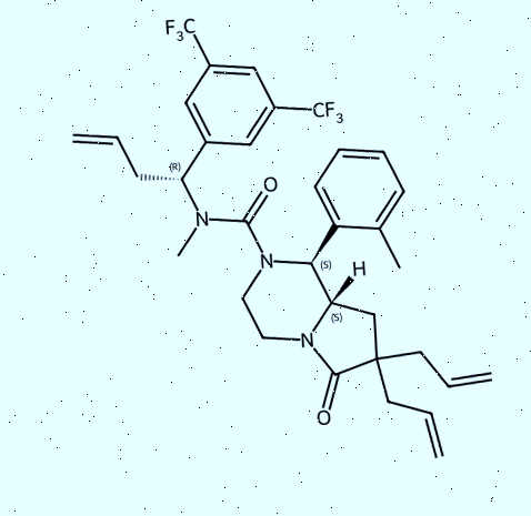 C=CC[C@H](c1cc(C(F)(F)F)cc(C(F)(F)F)c1)N(C)C(=O)N1CCN2C(=O)C(CC=C)(CC=C)C[C@H]2[C@@H]1c1ccccc1C